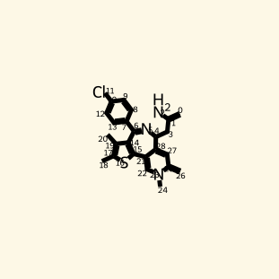 C=C(N)CC1N=C(c2ccc(Cl)cc2)c2c(sc(C)c2C)C2=CN(C)C(=C)C=C21